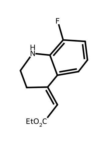 CCOC(=O)C=C1CCNc2c(F)cccc21